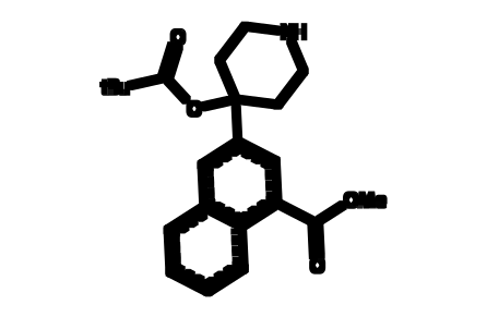 COC(=O)c1cc(C2(OC(=O)C(C)(C)C)CCNCC2)cc2ccccc12